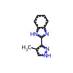 Cc1c[nH]nc1-c1nc2ccccc2[nH]1